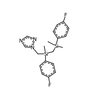 C[Si](C)(C[Si](C)(Cn1cncn1)c1ccc(F)cc1)c1ccc(F)cc1